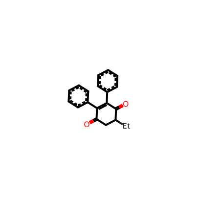 CCC1CC(=O)C(c2ccccc2)=C(c2ccccc2)C1=O